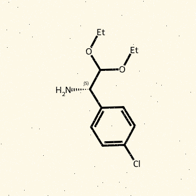 CCOC(OCC)[C@@H](N)c1ccc(Cl)cc1